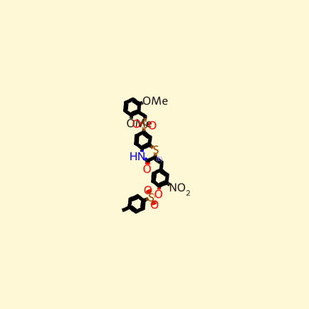 COc1cccc(OC)c1CS(=O)(=O)c1ccc2c(c1)S/C(=C/c1ccc(OS(=O)(=O)c3ccc(C)cc3)c([N+](=O)[O-])c1)C(=O)N2